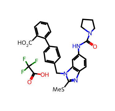 CSc1nc2ccc(NC(=O)N3CCCC3)cc2n1Cc1ccc(-c2ccccc2C(=O)O)cc1.O=C(O)C(F)(F)F